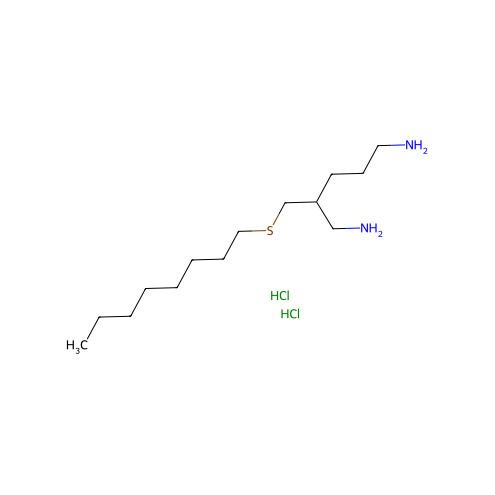 CCCCCCCCSCC(CN)CCCN.Cl.Cl